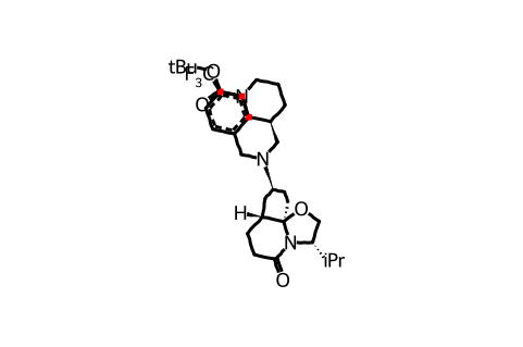 CC(C)[C@H]1CO[C@]23CC[C@H](N(Cc4ccc(C(F)(F)F)cc4)C[C@@H]4CCCN(C(=O)OC(C)(C)C)C4)C[C@H]2CCC(=O)N13